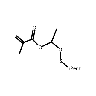 C=C(C)C(=O)OC(C)OSCCCCC